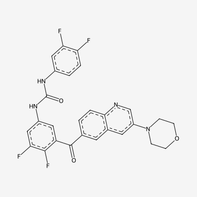 O=C(Nc1ccc(F)c(F)c1)Nc1cc(F)c(F)c(C(=O)c2ccc3ncc(N4CCOCC4)cc3c2)c1